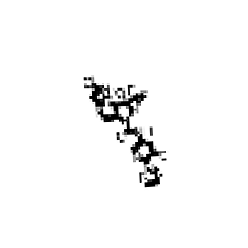 CO[C@]1(C(F)(F)F)CN(C(=O)Nc2cnc(-n3nccn3)c(Cl)c2)c2cnc3cc(Cl)nn3c21